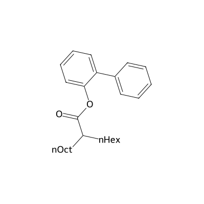 CCCCCCCCC(CCCCCC)C(=O)Oc1ccccc1-c1ccccc1